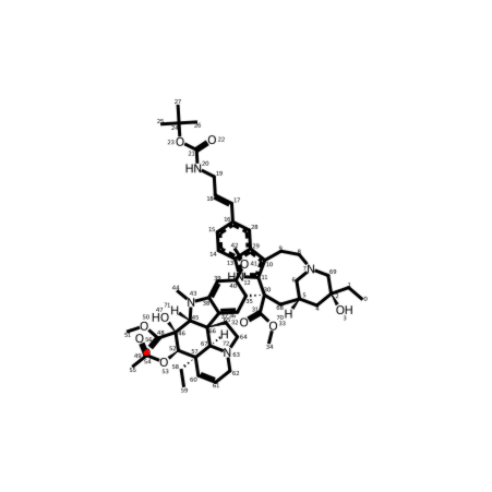 CC[C@]1(O)C[C@H]2CN(CCc3c([nH]c4ccc(/C=C/CNC(=O)OC(C)(C)C)cc34)[C@@](C(=O)OC)(C3C=C4C(=CC3OC)N(C)[C@H]3[C@@](O)(C(=O)OC)[C@H](OC(C)=O)[C@]5(CC)C=CCN6CC[C@]43[C@@H]65)C2)C1